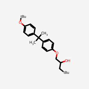 CC(C)(C)CC(O)COc1ccc(C(C)(C)c2ccc(OC(C)(C)C)cc2)cc1